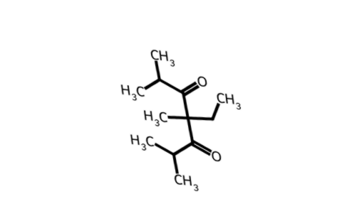 CCC(C)(C(=O)C(C)C)C(=O)C(C)C